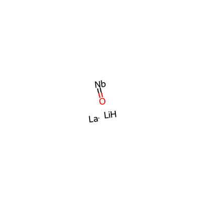 [La].[LiH].[O]=[Nb]